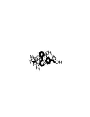 Cc1cccc2c1[C@H]1C[C@H](NC(=O)C(F)(F)F)CCN1c1ccc(C(=O)CO)cc1N2C